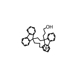 OCCCC1(CCC2(CCCO)c3ccccc3-c3ccccc32)c2ccccc2-c2ccccc21